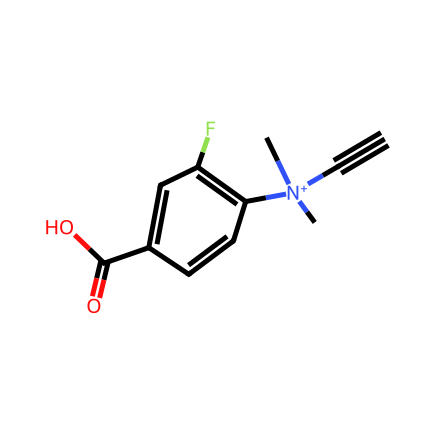 C#C[N+](C)(C)c1ccc(C(=O)O)cc1F